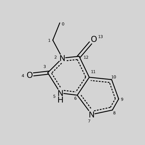 CCn1c(=O)[nH]c2ncccc2c1=O